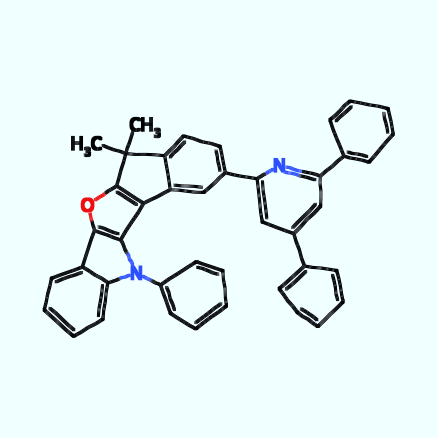 CC1(C)c2ccc(-c3cc(-c4ccccc4)cc(-c4ccccc4)n3)cc2-c2c1oc1c3ccccc3n(-c3ccccc3)c21